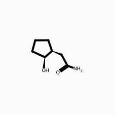 NC(=O)C[C@@H]1CCC[C@@H]1O